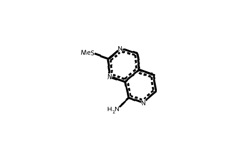 CSc1ncc2ccnc(N)c2n1